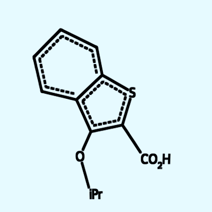 CC(C)Oc1c(C(=O)O)sc2ccccc12